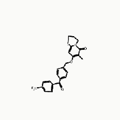 Cc1c(OCc2ccc(C(=O)c3ccc(C(F)(F)F)cc3)cc2)cc2n(c1=O)CCCS2